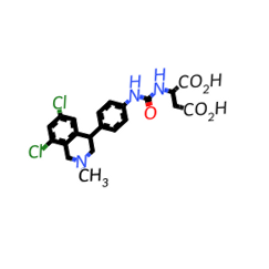 CN1Cc2c(Cl)cc(Cl)cc2C(c2ccc(NC(=O)NC(CC(=O)O)C(=O)O)cc2)C1